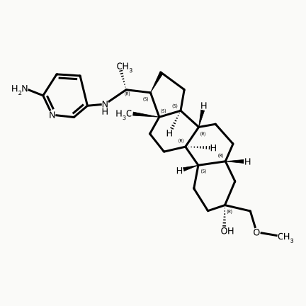 COC[C@@]1(O)CC[C@H]2[C@H](CC[C@@H]3[C@@H]2CC[C@]2(C)[C@@H]([C@@H](C)Nc4ccc(N)nc4)CC[C@@H]32)C1